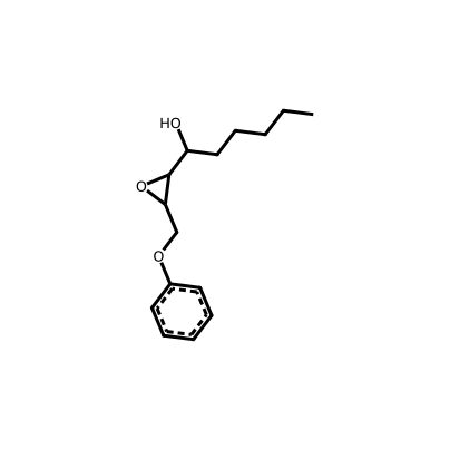 CCCCCC(O)C1OC1COc1ccccc1